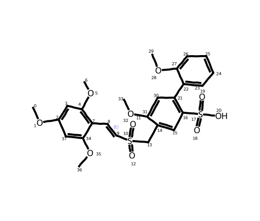 COc1cc(OC)c(/C=C/S(=O)(=O)Cc2cc(S(=O)(=O)O)c(-c3ccccc3OC)cc2OC)c(OC)c1